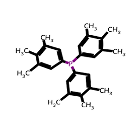 Cc1cc(P(c2cc(C)c(C)c(C)c2)c2cc(C)c(C)c(C)c2)cc(C)c1C